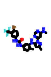 CNc1cc(-n2nc(C)cc2Nc2cc(NC(=O)Nc3ccc(Br)c(C(F)(F)F)c3)ccc2C)ncn1